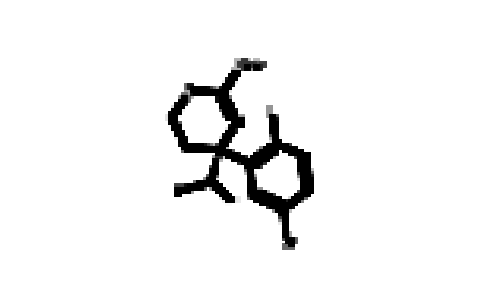 CNC1=N[C@@](c2cc(Br)ccc2F)(C(F)F)CCO1